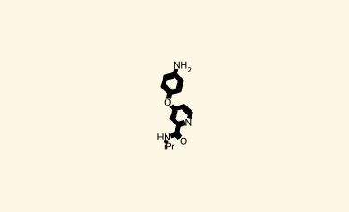 CC(C)NC(=O)c1cc(Oc2ccc(N)cc2)ccn1